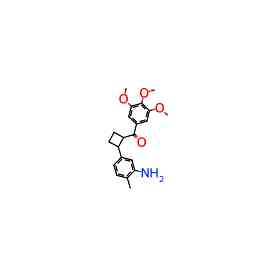 COc1cc(C(=O)C2CCC2c2ccc(C)c(N)c2)cc(OC)c1OC